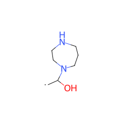 [CH2]C(O)N1CCCNCC1